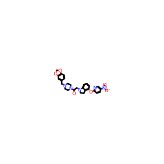 O=C(CN1CCc2c(Oc3ccc([N+](=O)[O-])cn3)cccc21)N1CCN(Cc2ccc3c(c2)OCO3)CC1